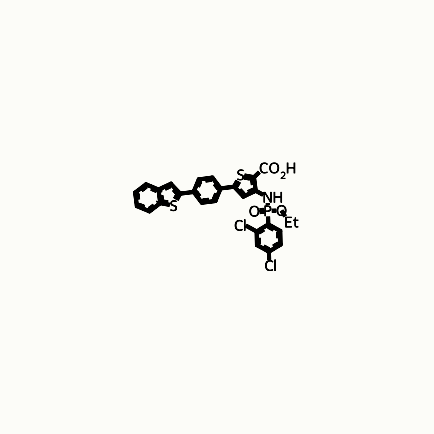 CCOP(=O)(Nc1cc(-c2ccc(-c3cc4ccccc4s3)cc2)sc1C(=O)O)c1ccc(Cl)cc1Cl